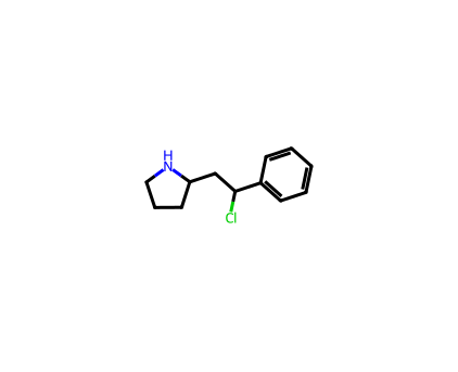 ClC(CC1CCCN1)c1ccccc1